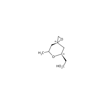 CC1C[C@]2(CO2)C[C@@H](CC(=O)O)O1